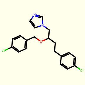 Clc1ccc(CCC(Cn2ccnc2)OCc2ccc(Cl)cc2)cc1